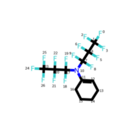 FC(F)(F)C(F)(F)C(F)(F)N(C1=CCCCC1)C(F)(F)C(F)(F)C(F)(F)F